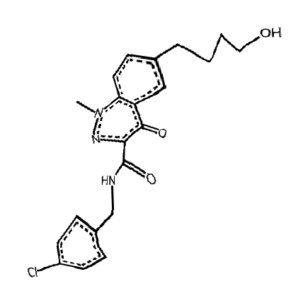 Cn1nc(C(=O)NCc2ccc(Cl)cc2)c(=O)c2cc(CCCCO)ccc21